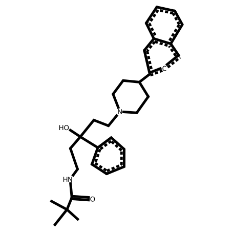 CC(C)(C)C(=O)NCCC(O)(CCN1CCC(c2ccc3ccccc3c2)CC1)c1ccccc1